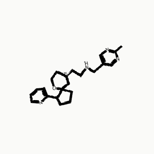 Cc1ncc(CNCC[C@@H]2CCOC3(CCCC3c3ccccn3)C2)cn1